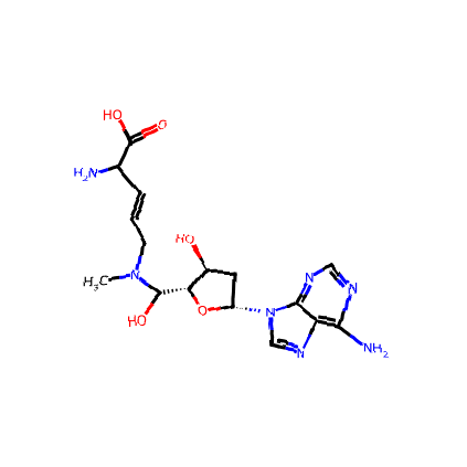 CN(CC=CC(N)C(=O)O)C(O)[C@H]1O[C@@H](n2cnc3c(N)ncnc32)C[C@@H]1O